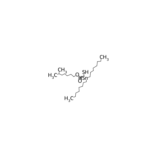 CCCCCCC[CH2][SnH]([CH2]CCCCCCC)[CH](S)C(=O)OCCCCCC(C)C